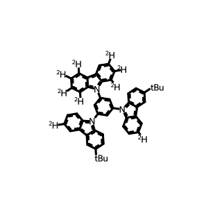 [2H]c1ccc2c(c1)c1cc(C(C)(C)C)ccc1n2-c1cc(-n2c3ccc([2H])cc3c3cc(C(C)(C)C)ccc32)cc(-n2c3c([2H])c([2H])c([2H])cc3c3c([2H])c([2H])c([2H])c([2H])c32)c1